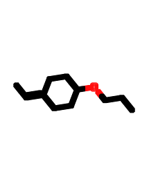 CC=C1CCC(OCCC)CC1